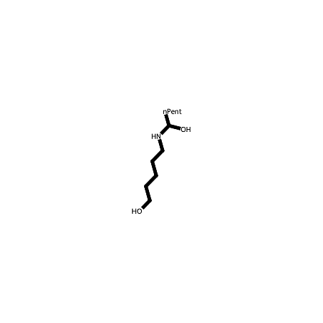 CCCCCC(O)NCCCCCO